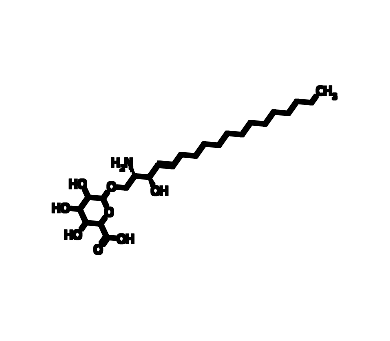 CCCCCCCCCCCCC/C=C/[C@@H](O)[C@@H](N)COC1OC(C(=O)O)C(O)C(O)C1O